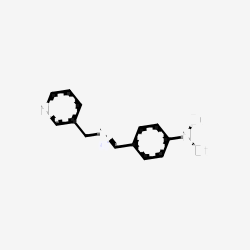 CCN(CC)c1ccc(/C=N/Cc2cccnc2)cc1